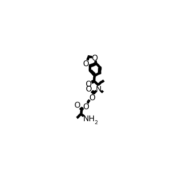 CC(N)C(=O)OCOC(=O)N(C)C(C)C(=O)c1ccc2c(c1)OCO2